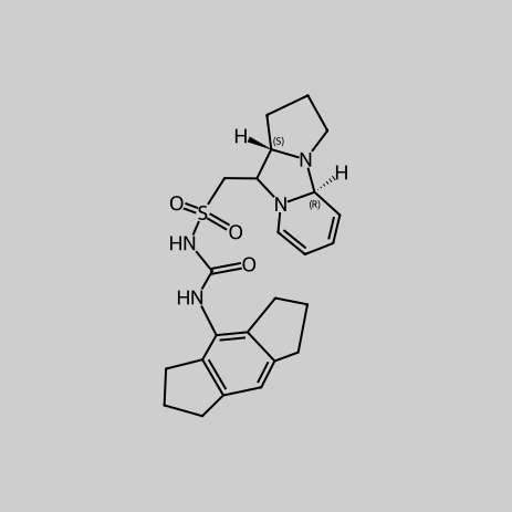 O=C(Nc1c2c(cc3c1CCC3)CCC2)NS(=O)(=O)CC1[C@@H]2CCCN2[C@H]2C=CC=CN12